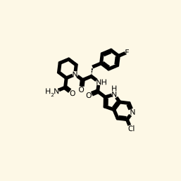 NC(=O)C1CCCCN1C(=O)[C@H](Cc1ccc(F)cc1)NC(=O)c1cc2cc(Cl)ncc2[nH]1